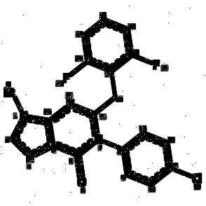 CCn1cnc2c(=O)n(-c3ccc(Cl)cc3)c(Cc3c(F)cccc3F)nc21